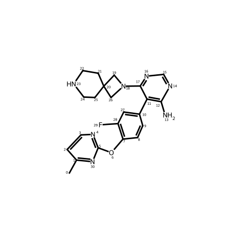 Cc1ccnc(Oc2ccc(-c3c(N)ncnc3N3CC4(CCNCC4)C3)cc2F)n1